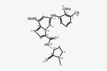 CNc1cc(Nc2cccc(C#N)c2OC)nn2c(C(=O)N[C@@H]3CCN(C)C3=O)cnc12